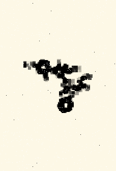 CC(C)OC(=O)[C@H](C)NP(=O)(OC[C@H]1S[C@@H](n2ccc(N)nc2=O)C(F)C1(C)CO)Oc1ccccc1